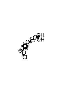 O=C(OCCl)c1ccc(OCCCON(O)O)cc1